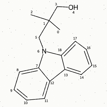 CC(C)(CO)Cn1c2ccccc2c2ccccc21